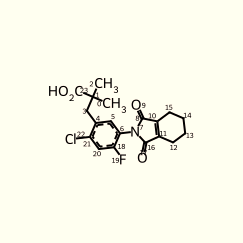 CC(C)(Cc1cc(N2C(=O)C3=C(CCCC3)C2=O)c(F)cc1Cl)C(=O)O